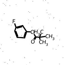 CC(C)(C)C(=O)Oc1cccc(F)c1